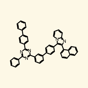 c1ccc(-c2ccc(-c3nc(-c4ccccc4)nc(-c4cccc(-c5ccc(-c6c(-c7cccc8ccccc78)nc7ccccn67)cc5)c4)n3)cc2)cc1